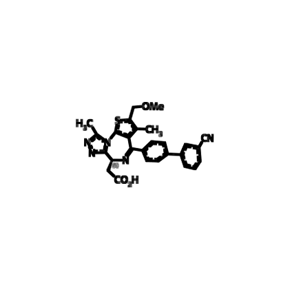 COCc1sc2c(c1C)C(c1ccc(-c3cccc(C#N)c3)cc1)=N[C@@H](CC(=O)O)c1nnc(C)n1-2